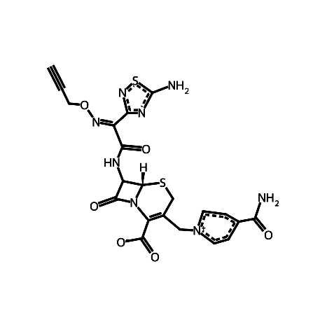 C#CCON=C(C(=O)NC1C(=O)N2C(C(=O)[O-])=C(C[n+]3ccc(C(N)=O)cc3)CS[C@@H]12)c1nsc(N)n1